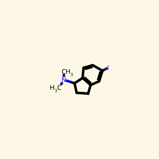 CN(C)C1CCc2cc(I)ccc21